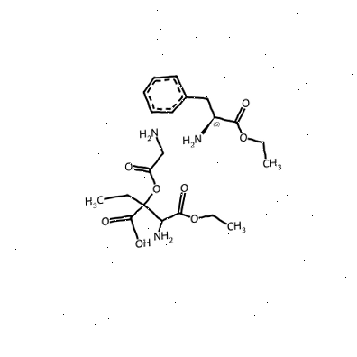 CCOC(=O)C(N)C(CC)(OC(=O)CN)C(=O)O.CCOC(=O)[C@@H](N)Cc1ccccc1